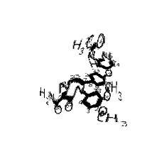 COc1ccc(-n2c(-c3ccc(Oc4ccnc(NC(C)=O)c4)cc3)cnc(C(N)=O)c2=O)cc1OC